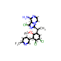 CC(C)Oc1c(C(C)c2nc(Cl)c3c(N)nccn23)cc(Cl)c(Cl)c1-c1ccc(C(F)(F)F)nc1